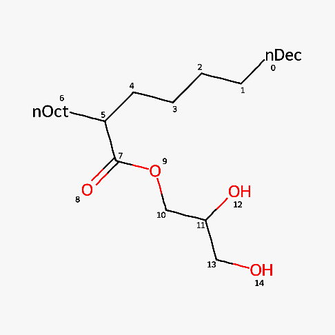 CCCCCCCCCCCCCCC(CCCCCCCC)C(=O)OCC(O)CO